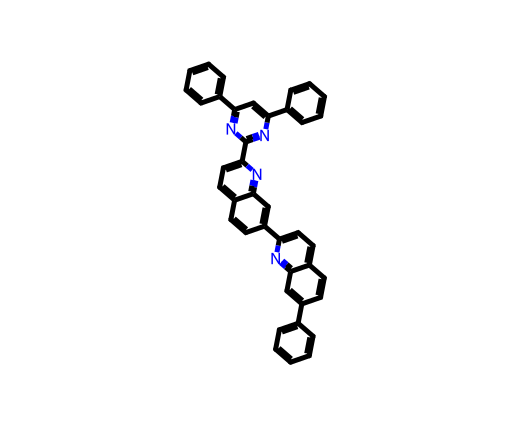 c1ccc(-c2ccc3ccc(-c4ccc5ccc(-c6nc(-c7ccccc7)cc(-c7ccccc7)n6)nc5c4)nc3c2)cc1